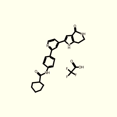 O=C(O)C(F)(F)F.O=C1NCCc2[nH]c(-c3ccnc(-c4ccc(NC(=O)C5CCCCC5)cc4)c3)cc21